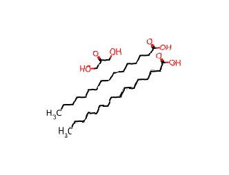 CCCCCCCCCCCCCCCC(=O)O.CCCCCCCCCCCCCCCC(=O)O.O=C(CO)CO